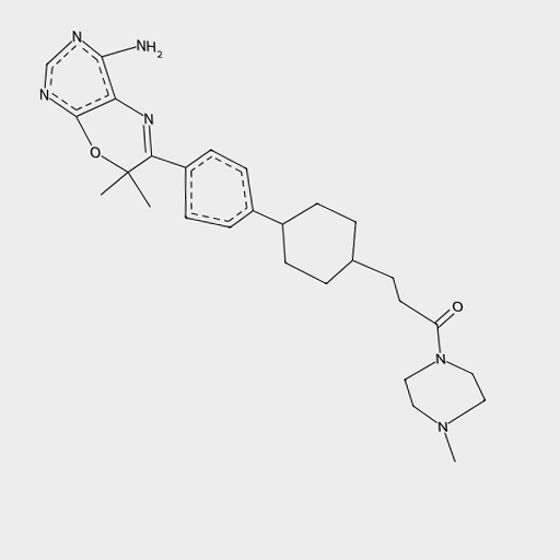 CN1CCN(C(=O)CCC2CCC(c3ccc(C4=Nc5c(N)ncnc5OC4(C)C)cc3)CC2)CC1